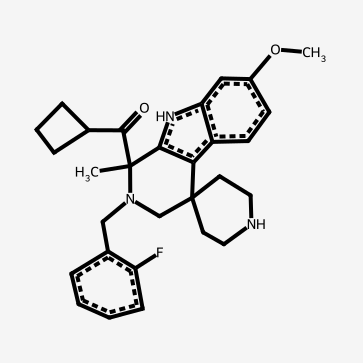 COc1ccc2c3c([nH]c2c1)C(C)(C(=O)C1CCC1)N(Cc1ccccc1F)CC31CCNCC1